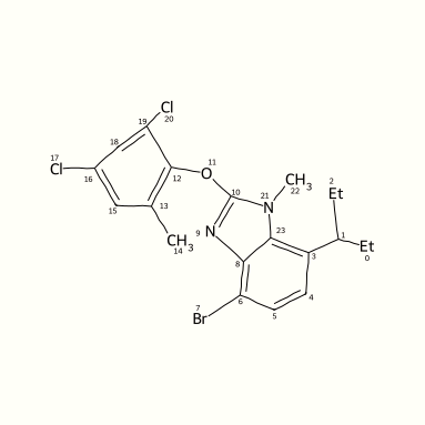 CCC(CC)c1ccc(Br)c2nc(Oc3c(C)cc(Cl)cc3Cl)n(C)c12